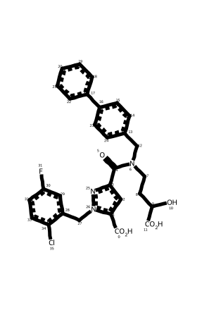 O=C(O)c1cc(C(=O)N(CCC(O)C(=O)O)Cc2ccc(-c3ccccc3)cc2)nn1Cc1cc(F)ccc1Cl